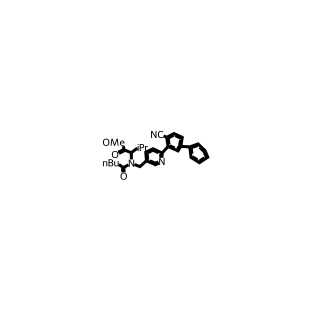 CCCCC(=O)N(Cc1ccc(-c2cc(-c3ccccc3)ccc2C#N)nc1)C(C(=O)OC)C(C)C